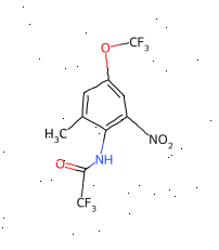 Cc1cc(OC(F)(F)F)cc([N+](=O)[O-])c1NC(=O)C(F)(F)F